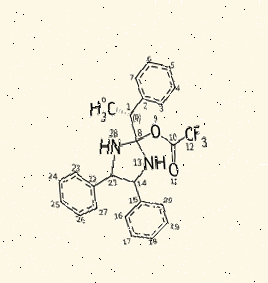 C[C@H](c1ccccc1)C1(OC(=O)C(F)(F)F)NC(c2ccccc2)C(c2ccccc2)N1